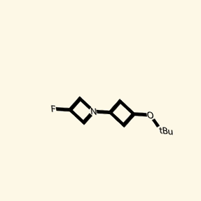 CC(C)(C)OC1CC(N2CC(F)C2)C1